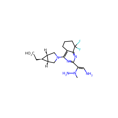 CN(N)/C(=C\N)c1nc(N2C[C@@H]3[C@@H](CC(=O)O)[C@@H]3C2)c2c(n1)C(F)(F)CCC2